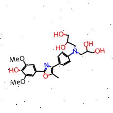 COc1cc(-c2nc(-c3ccc(N(CC(O)CO)CC(O)CO)cc3)c(C)o2)cc(OC)c1O